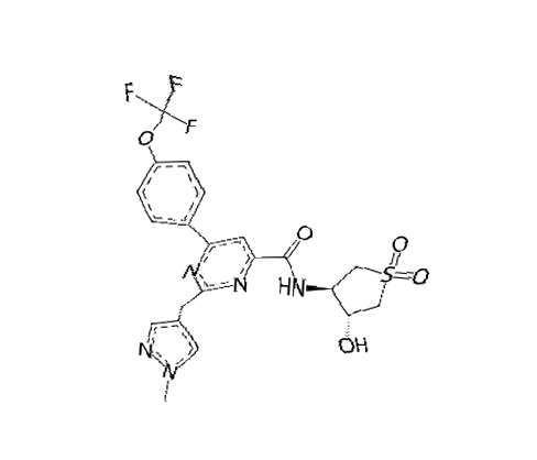 Cn1cc(-c2nc(C(=O)N[C@H]3CS(=O)(=O)C[C@@H]3O)cc(-c3ccc(OC(F)(F)F)cc3)n2)cn1